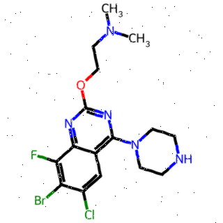 CN(C)CCOc1nc(N2CCNCC2)c2cc(Cl)c(Br)c(F)c2n1